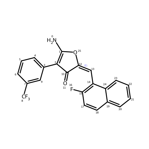 NC1=C(c2cccc(C(F)(F)F)c2)C(=O)/C(=C\c2c(F)ccc3ccccc23)O1